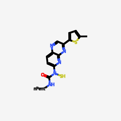 CCCCCNC(=O)N(S)c1ccc2ncc(-c3ccc(C)s3)nc2n1